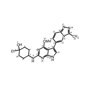 CCC1(O)CCC(Nc2nc(OC)c3c(-c4ccc5nnc(C)n5c4)c[nH]c3n2)CC1